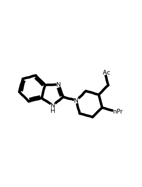 CCCC1CCN(c2nc3ccccc3[nH]2)CC1CC(C)=O